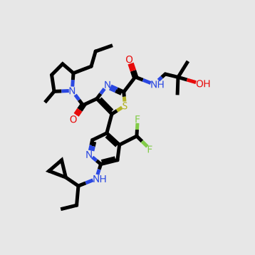 CCCC1CCC(C)N1C(=O)c1nc(C(=O)NCC(C)(C)O)sc1-c1cnc(NC(CC)C2CC2)cc1C(F)F